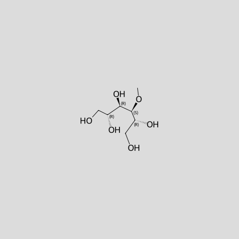 CO[C@H]([C@H](O)[C@H](O)CO)[C@H](O)CO